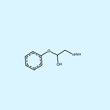 CCCCCCCC(O)Oc1ccccc1